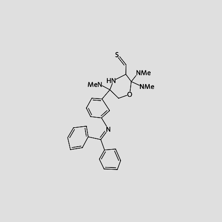 CNC1(c2cccc(N=C(c3ccccc3)c3ccccc3)c2)COC(NC)(NC)C(C=S)N1